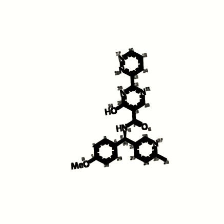 COc1ccc([C@@H](NC(=O)c2cnc(-c3cccnn3)nc2O)c2ccc(C)nc2)cc1